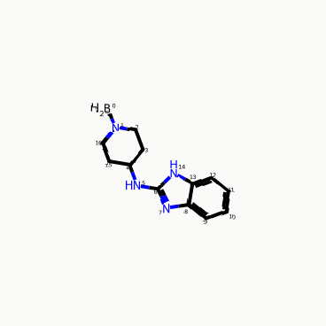 BN1CCC(Nc2nc3ccccc3[nH]2)CC1